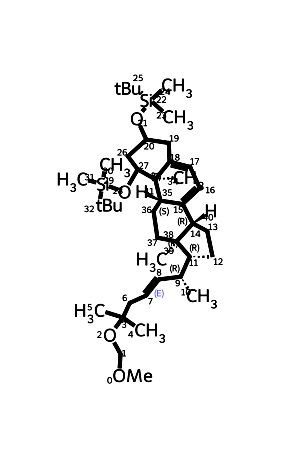 COCOC(C)(C)C/C=C/[C@@H](C)[C@H]1CC[C@H]2C3=CC=C4CC(O[Si](C)(C)C(C)(C)C)CC(O[Si](C)(C)C(C)(C)C)[C@]4(C)[C@H]3CC[C@]12C